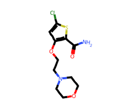 NC(=O)c1sc(Cl)cc1OCCN1CCOCC1